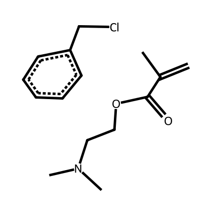 C=C(C)C(=O)OCCN(C)C.ClCc1ccccc1